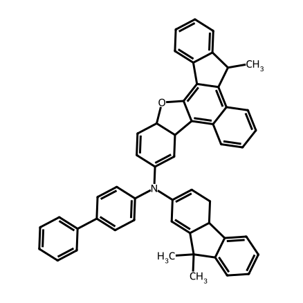 CC1c2ccccc2-c2c3c(c4ccccc4c21)C1C=C(N(C2=CCC4C(=C2)C(C)(C)c2ccccc24)c2ccc(-c4ccccc4)cc2)C=CC1O3